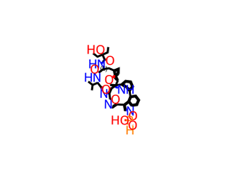 CCC(O)(CC)C(=O)N[C@H]1Cc2ccc3c(c2)C24c5cccc(c5NC2O3)-c2cccc3c2c(cn3O[PH](=O)O)-c2cnc(o2)-c2nc(oc24)C(C(C)C)NC1=O